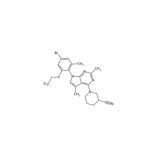 CCSc1cc(Br)cc(C)c1-n1cc(C)c2c(N3CCCC(C#N)C3)nc(C)nc21